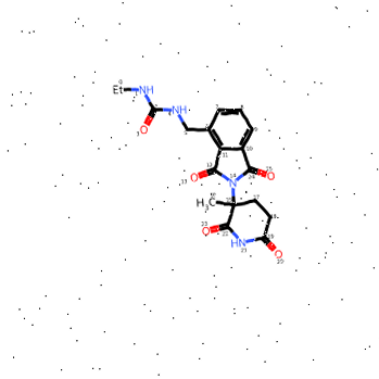 CCNC(=O)NCc1cccc2c1C(=O)N(C1(C)CCC(=O)NC1=O)C2=O